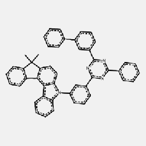 CC1(C)c2ccccc2-c2c1ccc1c2c2ccccc2n1-c1cccc(-c2nc(-c3ccccc3)nc(-c3cccc(-c4ccccc4)c3)n2)c1